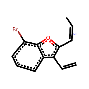 C=Cc1c(/C=C\C)oc2c(Br)cccc12